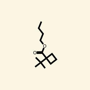 CCCCOC(=O)C1(C(C)(C)C)CCC1